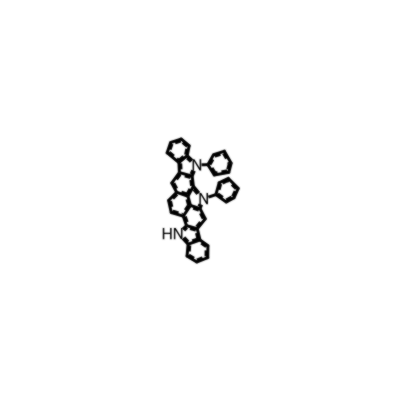 c1ccc(-n2c3ccccc3c3cc4ccc5c6[nH]c7ccccc7c6cc6c5c4c(c32)n6-c2ccccc2)cc1